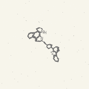 C(#Cc1ccc2c(n1)c1c(c3ccccc32)C=CCN1)c1ccc(-c2cccc3c2sc2ccccc23)cc1